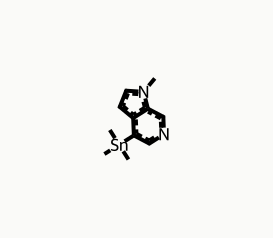 Cn1ccc2[c]([Sn]([CH3])([CH3])[CH3])cncc21